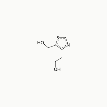 OCCc1ncsc1CO